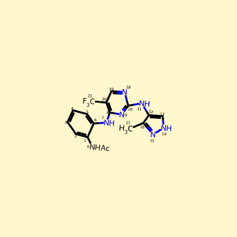 CC(=O)Nc1ccccc1Nc1nc(Nc2c[nH]nc2C)ncc1C(F)(F)F